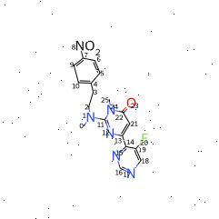 CN(CCc1ccc([N+](=O)[O-])cc1)c1nc(-c2ncncc2F)cc(=O)n1C